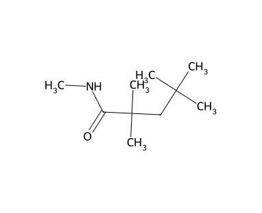 CNC(=O)C(C)(C)CC(C)(C)C